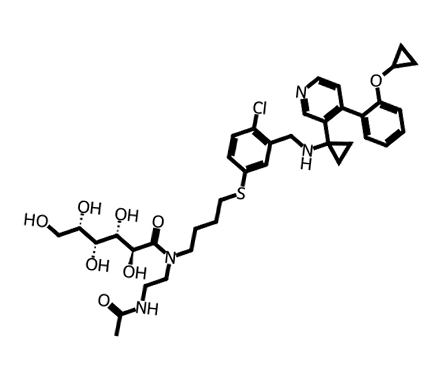 CC(=O)NCCN(CCCCSc1ccc(Cl)c(CNC2(c3cnccc3-c3ccccc3OC3CC3)CC2)c1)C(=O)[C@@H](O)[C@@H](O)[C@H](O)[C@@H](O)CO